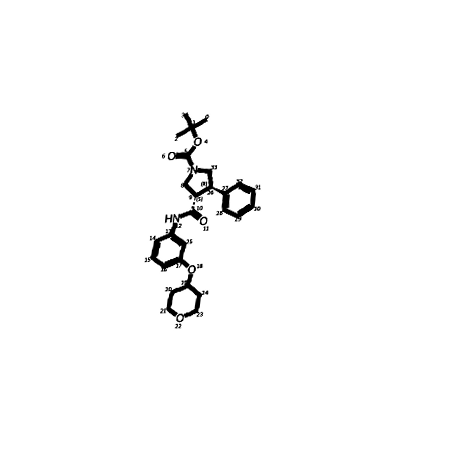 CC(C)(C)OC(=O)N1C[C@@H](C(=O)Nc2cccc(OC3CCOCC3)c2)[C@H](c2ccccc2)C1